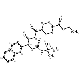 CCOC(=O)N1CCN(C(=O)CC(=O)N(CC(=O)OC(C)(C)C)c2ccc3ccccc3c2)CC1